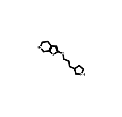 c1c(OCCCC2CCNC2)sc2c1CCNC2